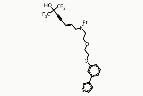 CCN(CC=CC#CC(O)(C(F)(F)F)C(F)(F)F)CCOCCOc1cccc(-c2ccsc2)c1